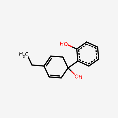 CCC1=CCC(O)(c2ccccc2O)C=C1